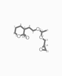 CC(OCCC1CCCOC1=O)OCC1CO1